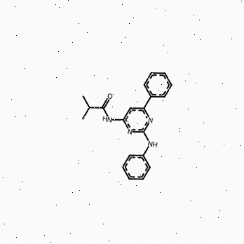 CC(C)C(=O)Nc1cc(-c2ccccc2)nc(Nc2ccccc2)n1